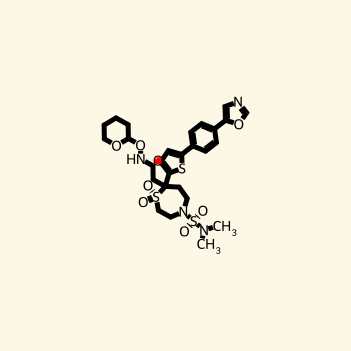 CN(C)S(=O)(=O)N1CCC(CC(=O)NOC2CCCCO2)(c2ccc(-c3ccc(-c4cnco4)cc3)s2)S(=O)(=O)CC1